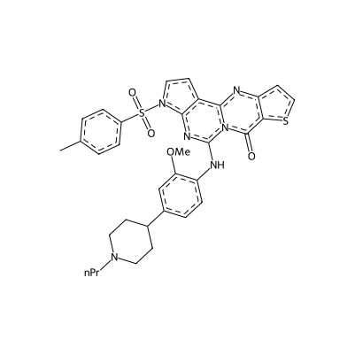 CCCN1CCC(c2ccc(Nc3nc4c(ccn4S(=O)(=O)c4ccc(C)cc4)c4nc5ccsc5c(=O)n34)c(OC)c2)CC1